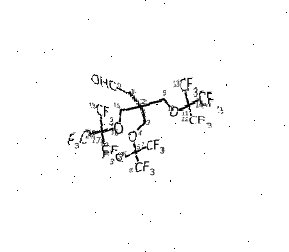 O=CCC(COC(C(F)(F)F)(C(F)(F)F)C(F)(F)F)(COC(C(F)(F)F)(C(F)(F)F)C(F)(F)F)COC(C(F)(F)F)(C(F)(F)F)C(F)(F)F